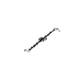 CCCCCCCCCCCCCCCCCNC(=O)NC(=O)CCCCCCCCCCCCCCCCC